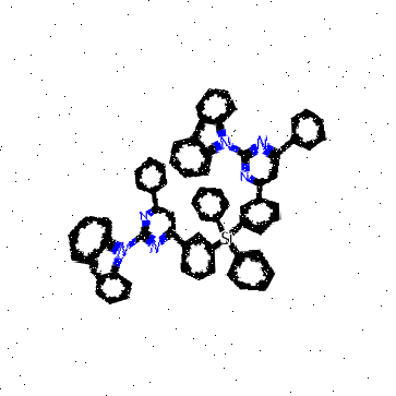 c1ccc(-c2cc(-c3cccc([Si](c4ccccc4)(c4ccccc4)c4cccc(-c5cc(-c6ccccc6)nc(-n6c7ccccc7c7ccccc76)n5)c4)c3)nc(-n3c4ccccc4c4ccccc43)n2)cc1